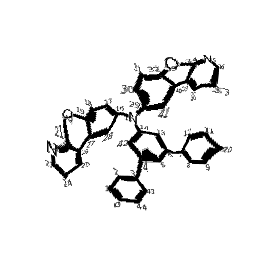 c1ccc(-c2cc(-c3ccccc3)cc(N(c3ccc4oc5ncccc5c4c3)c3ccc4oc5ncccc5c4c3)c2)cc1